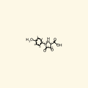 Cc1ccc(N2NC(C(=O)O)C(=O)C2=O)cc1